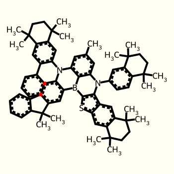 Cc1cc2c3c(c1)N(c1ccc4c(c1)C(C)(C)CCC4(C)C)c1c(sc4cc5c(cc14)C(C)(C)CCC5(C)C)B3c1cc3c(cc1N2c1cc2c(cc1-c1ccccc1)C(C)(C)CCC2(C)C)-c1ccccc1C3(C)C